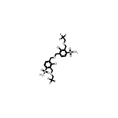 CS(=O)(=O)c1ccc(COCc2ccc(S(C)(=O)=O)c(COCC(F)(F)F)c2Cl)c(Cl)c1COCC(F)(F)F